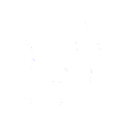 C=CCN1CC[C@H]1CN1CC2(CCOc3cc(Cl)ccc32)COc2ccc(C(=O)OC)cc21